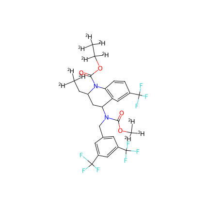 [2H]C([2H])([2H])CC1CC(N(Cc2cc(C(F)(F)F)cc(C(F)(F)F)c2)C(=O)OC([2H])([2H])[2H])c2cc(C(F)(F)F)ccc2N1C(=O)OC([2H])([2H])C([2H])([2H])[2H]